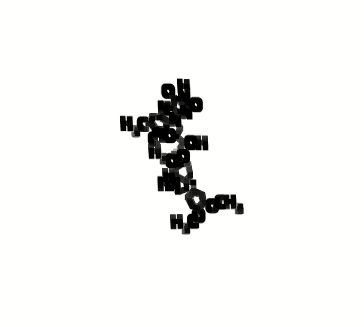 COc1ccc(C[C@@]23CCN[C@H]2CC2(CC3)OC[C@H]([C@@H](O)[C@@H](O)Cn3c4nc(=O)[nH]c(=O)c-4nc4cc(C)c(C)cc43)O2)cc1OC